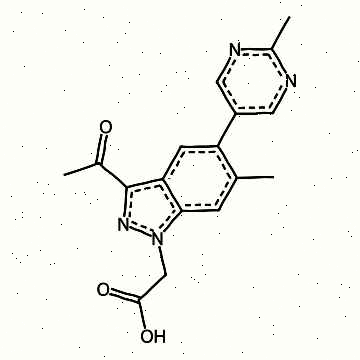 CC(=O)c1nn(CC(=O)O)c2cc(C)c(-c3cnc(C)nc3)cc12